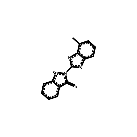 Cc1cccc2sc(-n3[se]c4ccccc4c3=S)nc12